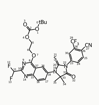 CC(C)(C)OC(=O)OCCOc1nc(C(F)F)nc2ccc(N3C(=S)N(c4ccc(C#N)c(C(F)(F)F)c4)C(=O)C3(C)C)cc12